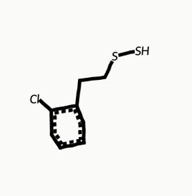 SSCCc1ccccc1Cl